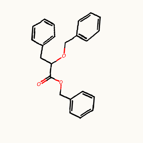 O=C(OCc1ccccc1)C(Cc1ccccc1)OCc1ccccc1